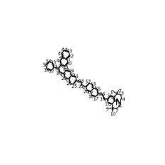 CC1(C)CCN2CCC(C)(C)c3cc(/C=C/c4ccc5cc(/C=C/c6ccc7cc(/C=C(/c8ccccc8)c8ccc9ccccc9c8)ccc7c6)ccc5c4)cc1c32